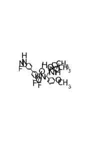 COc1cccc(C(CNC(=O)OC(C)(C)C)NC(=O)c2cc(-c3ccc4[nH]nc(F)c4c3)ccc2OC(F)F)c1